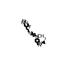 CN(c1ccc2cnn(C3CC3)c2c1)C1CC2(C1)CN(CCCc1cc3nncn3cc1F)C2